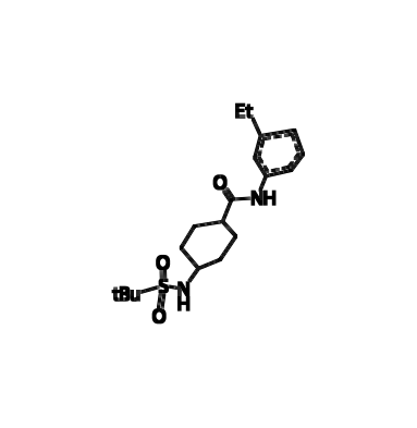 CCc1cccc(NC(=O)C2CCC(NS(=O)(=O)C(C)(C)C)CC2)c1